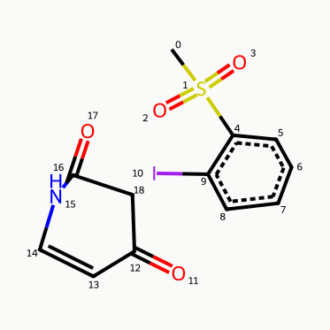 CS(=O)(=O)c1ccccc1I.O=C1C=CNC(=O)C1